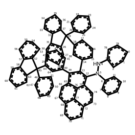 c1ccc(NN(c2ccccc2)c2c(-c3cccc(C4(c5ccccc5)c5ccccc5-c5ccccc54)c3)c(-c3cccc(C4(c5ccccc5)c5ccccc5-c5ccccc54)c3)c3ccc4cccc5ccc2c3c45)cc1